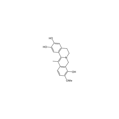 COc1ccc2c(c1O)CN1CCc3cc(O)c(O)cc3C1=C2C